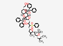 C=C=C(C)C[C@H](CC[C@@H]1O[C@@H](CC(C(O)C[C@H]2O[C@H]3[C@@H](O[Si](c4ccccc4)(c4ccccc4)C(C)(C)C)[C@H]4O[C@@H](CCO)CC[C@@H]4O[C@H]3[C@H]2O[Si](c2ccccc2)(c2ccccc2)C(C)(C)C)S(=O)(=O)c2ccccc2)CC1=C)O[Si](CC)(CC)CC